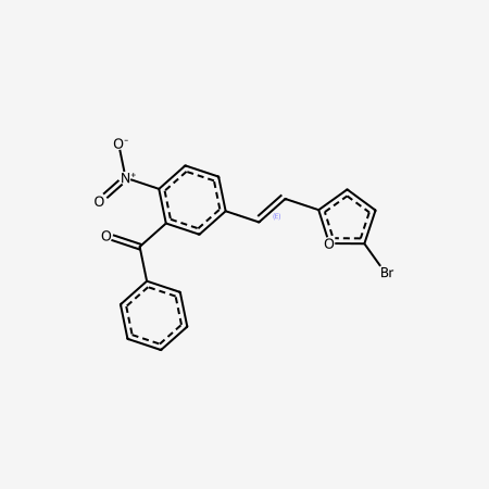 O=C(c1ccccc1)c1cc(/C=C/c2ccc(Br)o2)ccc1[N+](=O)[O-]